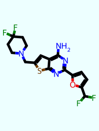 Nc1nc(-c2ccc(C(F)F)o2)nc2sc(CN3CCC(F)(F)CC3)cc12